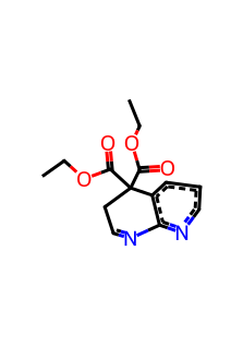 CCOC(=O)C1(C(=O)OCC)CC=Nc2ncccc21